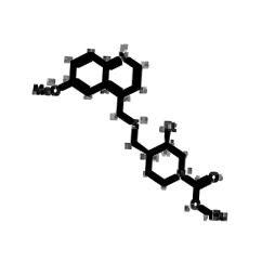 CC[C@H]1CN(C(=O)OC(C)(C)C)CC[C@H]1CSCc1ccnc2ccc(OC)cc12